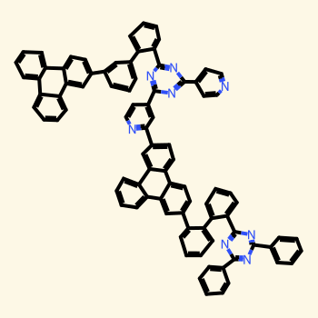 c1ccc(-c2nc(-c3ccccc3)nc(-c3ccccc3-c3ccccc3-c3ccc4c5ccc(-c6cc(-c7nc(-c8ccncc8)nc(-c8ccccc8-c8cccc(-c9ccc%10c%11ccccc%11c%11ccccc%11c%10c9)c8)n7)ccn6)cc5c5ccccc5c4c3)n2)cc1